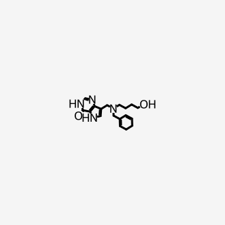 O=c1[nH]cnc2c(CN(CCCCO)CC3=CCCC=C3)c[nH]c12